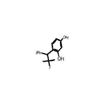 CC(C)C(c1ccc(O)cc1O)C(C)(C)I